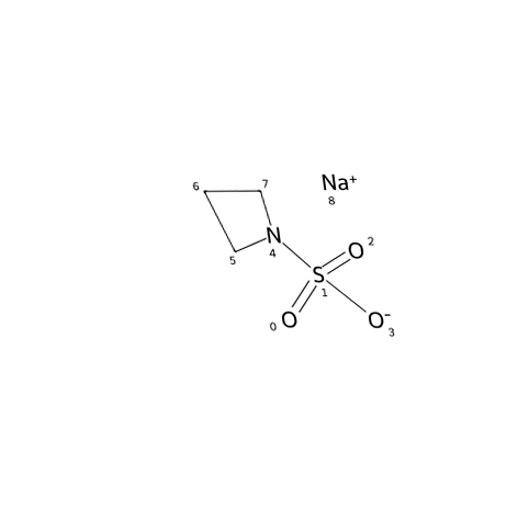 O=S(=O)([O-])N1CCC1.[Na+]